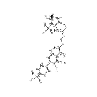 CCC(CCCn1ccc2cc(-c3ncc(C(F)(F)F)cn3)c(F)c(F)c2c1=O)Nc1cn[nH]c(=O)c1C(F)(F)F